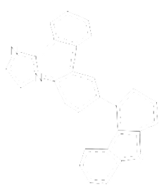 c1ccc2c(c1)sc1cccc(-c3ccc4c(c3)c3ccccc3c3nccn43)c12